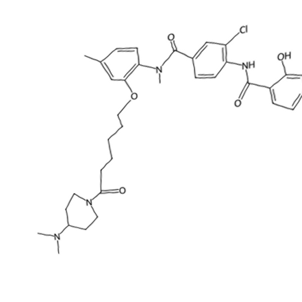 Cc1ccc(N(C)C(=O)c2ccc(NC(=O)c3ccccc3O)c(Cl)c2)c(OCCCCCC(=O)N2CCC(N(C)C)CC2)c1